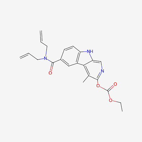 C=CCN(CC=C)C(=O)c1ccc2[nH]c3cnc(OC(=O)OCC)c(C)c3c2c1